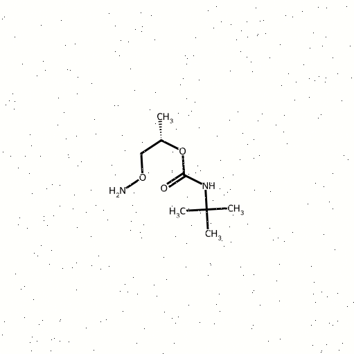 C[C@@H](CON)OC(=O)NC(C)(C)C